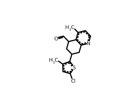 Cc1cc(Cl)sc1C1Cc2nccc(C)c2C(C=O)C1